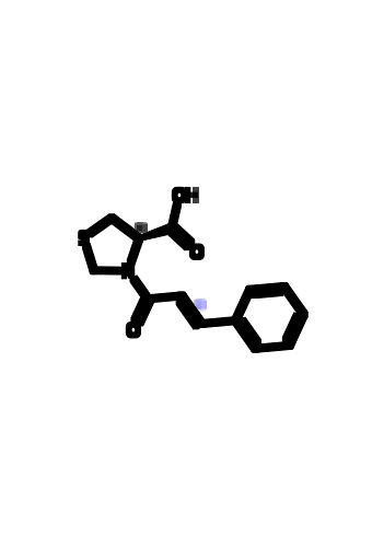 O=C(O)[C@@H]1CSCN1C(=O)/C=C/c1ccccc1